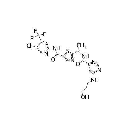 CC(NC(=O)c1cc(NCCCO)ncn1)c1ncc(C(=O)Nc2cc(C(F)(F)F)c(Cl)cn2)s1